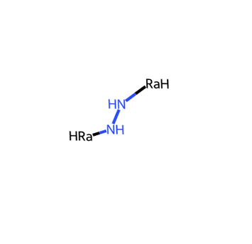 [RaH][NH][NH][RaH]